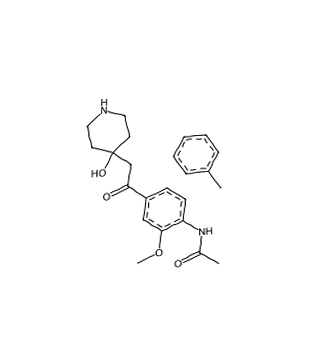 COc1cc(C(=O)CC2(O)CCNCC2)ccc1NC(C)=O.Cc1ccccc1